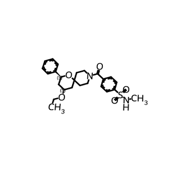 CCO[C@H]1C[C@@H](c2ccccc2)OC2(CCN(C(=O)c3ccc(S(=O)(=O)NC)cc3)CC2)C1